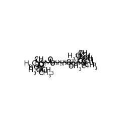 CC(C)c1cc(CCC(=O)OCCCCCCOC(=O)CCc2cc(C(C)(C)C)c(O)c(C(C)(C)C)c2)cc(C(C)(C)C)c1O